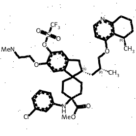 CNCCOc1cc2c(cc1OS(=O)(=O)C(F)(F)F)C[C@H](C[C@@H](C)COc1ccnc3c1[C@H](C)CCC3)C21CCC(Nc2cccc(Cl)c2)(C(=O)OC)CC1